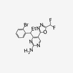 CCC(c1ccccc1Br)c1nc(N)ncc1-c1nnc(C(F)F)o1